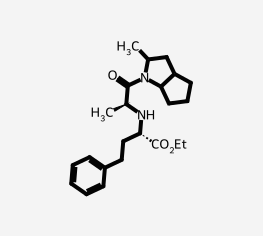 CCOC(=O)[C@H](CCc1ccccc1)N[C@@H](C)C(=O)N1C(C)CC2CCCC21